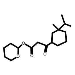 CC(C)C1(C)CCCC(C(=O)CC(=O)OC2CCCCO2)C1